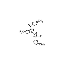 COc1cccc(-c2nc(-n3nc(C(=O)N4CCN(C)CC4)c4cc(C(F)(F)F)ccc43)sc2C(C)C)c1